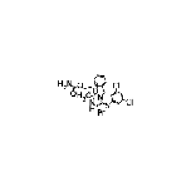 CC(C)C1=C(Sc2cc(Cl)cc(Cl)c2)N(Cc2ccccn2)C(C)(OCCOC(N)=O)N1